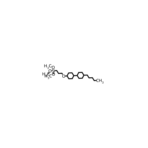 CCCCCC1CCC(C2CCC(OCCC[Si](OC)(OC)OC)CC2)CC1